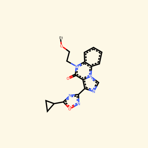 CCOCCn1c(=O)c2c(-c3noc(C4CC4)n3)ncn2c2ccccc21